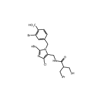 CCCCc1nc(Cl)c(CNC(=O)C(CS)CC(C)C)n1Cc1ccc(C(=O)O)c(Br)c1